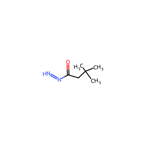 CC(C)(C)CC(=O)N=N